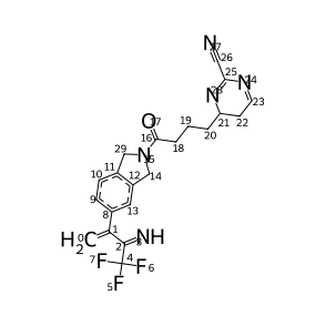 C=C(C(=N)C(F)(F)F)c1ccc2c(c1)CN(C(=O)CCCC1CC=NC(C#N)=N1)C2